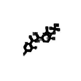 N=C(NC(=O)c1ncc(F)cc1F)[C@@H]1CC[C@@H]2CN1C(=O)N2OS(=O)(=O)O